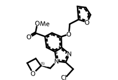 COC(=O)c1cc(OCc2ccco2)c2nc(CCl)n(C[C@@H]3CCO3)c2c1